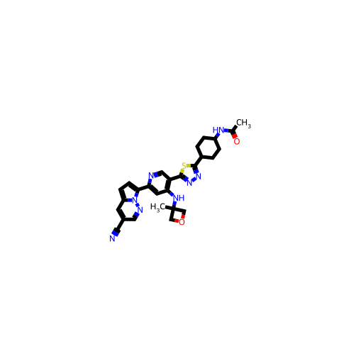 CC(=O)NC1CCC(c2nnc(-c3cnc(-c4ccc5cc(C#N)cnn45)cc3NC3(C)COC3)s2)CC1